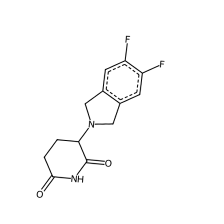 O=C1CCC(N2Cc3cc(F)c(F)cc3C2)C(=O)N1